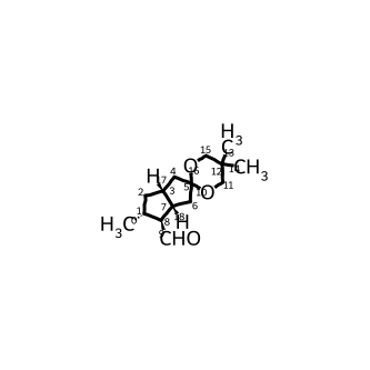 C[C@@H]1C[C@@H]2CC3(C[C@@H]2[C@H]1C=O)OCC(C)(C)CO3